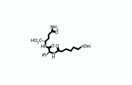 CCCCCCCCCCCCCCCC(=O)N[C@H](C(=O)N[C@@H](CCC(N)=O)C(=O)O)C(C)C